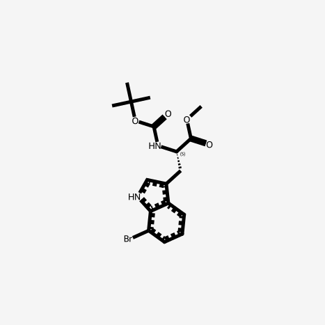 COC(=O)[C@H](Cc1c[nH]c2c(Br)cccc12)NC(=O)OC(C)(C)C